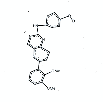 CCOc1ccc(Nc2ncc3nc(-c4cccc(OC)c4OC)ccc3n2)cc1